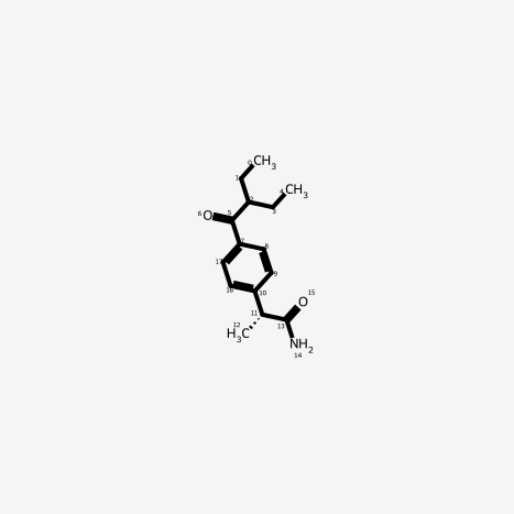 CCC(CC)C(=O)c1ccc([C@@H](C)C(N)=O)cc1